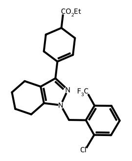 CCOC(=O)C1CC=C(c2nn(Cc3c(Cl)cccc3C(F)(F)F)c3c2CCCC3)CC1